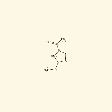 CCC1CCC(C(C)=O)N1